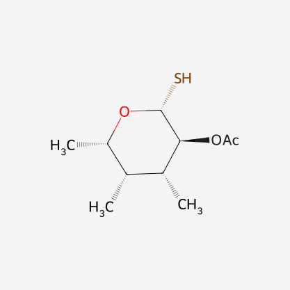 CC(=O)O[C@H]1[C@H](C)[C@H](C)[C@H](C)O[C@@H]1S